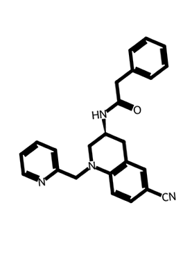 N#Cc1ccc2c(c1)C[C@H](NC(=O)Cc1ccccc1)CN2Cc1ccccn1